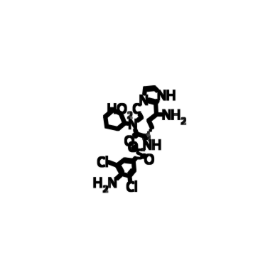 Nc1c(Cl)cc(S(=O)(=O)N[C@@H](CCC(N)c2ncc[nH]2)C(=O)N(CC(=O)O)C2CCCCC2)cc1Cl